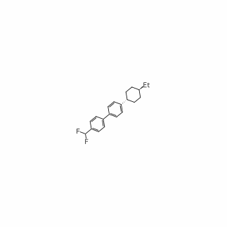 CC[C@H]1CC[C@H](c2ccc(-c3ccc(C(F)F)cc3)cc2)CC1